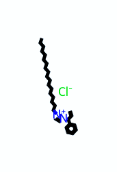 C=CC(c1ccccc1)n1cc[n+](CCCCCCCCCCCCCCCCCC)c1.[Cl-]